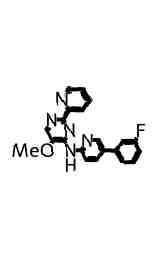 COc1cnc(-c2ccccn2)nc1Nc1ccc(-c2cccc(F)c2)cn1